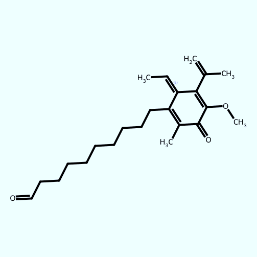 C=C(C)C1=C(OC)C(=O)C(C)=C(CCCCCCCCCC=O)/C1=C\C